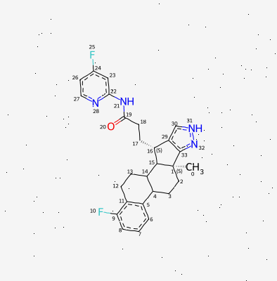 C[C@]12CCC3c4cccc(F)c4CCC3C1[C@H](CCC(=O)Nc1cc(F)ccn1)c1c[nH]nc12